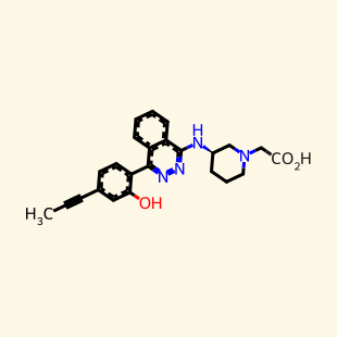 CC#Cc1ccc(-c2nnc(N[C@@H]3CCCN(CC(=O)O)C3)c3ccccc23)c(O)c1